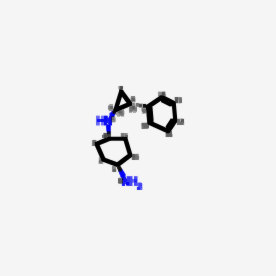 N[C@H]1CC[C@@H](N[C@H]2C[C@@H]2c2ccccc2)CC1